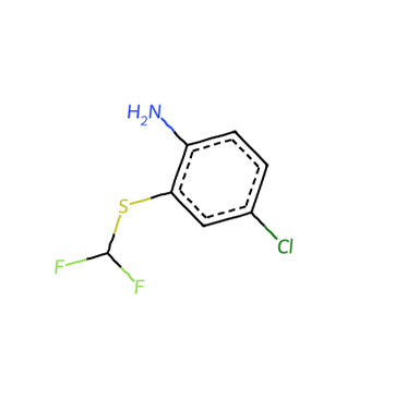 Nc1ccc(Cl)cc1SC(F)F